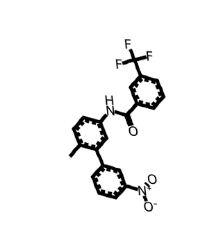 Cc1ccc(NC(=O)c2cccc(C(F)(F)F)c2)cc1-c1cccc([N+](=O)[O-])c1